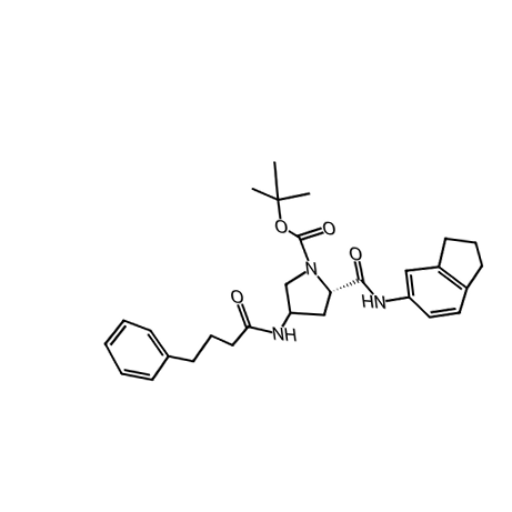 CC(C)(C)OC(=O)N1CC(NC(=O)CCCc2ccccc2)C[C@H]1C(=O)Nc1ccc2c(c1)CCC2